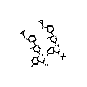 Cc1ccc(Nc2cnc(-c3cccc(OC4CC4)c3)c(C)c2)c(C(=O)O)c1.Cc1ccc(Nc2cnc(-c3cccc(OC4CC4)c3)c(C)c2)c(C(=O)OC(C)(C)C)c1